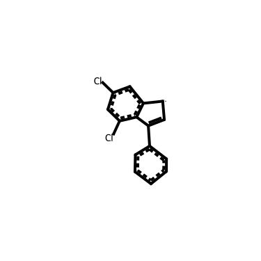 Clc1cc(Cl)c2c(c1)[CH]C=C2c1ccccc1